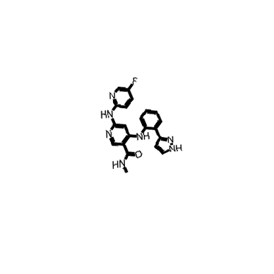 CNC(=O)c1cnc(Nc2ccc(F)cn2)cc1Nc1ccccc1-c1cc[nH]n1